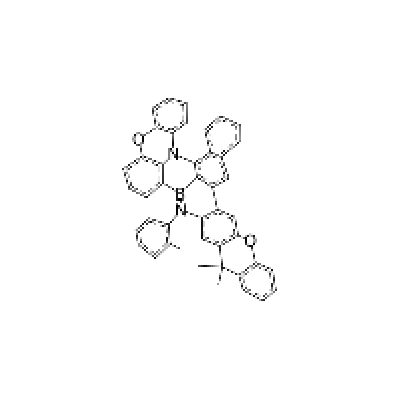 Cc1ccccc1N1B2c3cccc4c3N(c3ccccc3O4)c3c2c(cc2ccccc32)-c2cc3c(cc21)C(C)(C)c1ccccc1O3